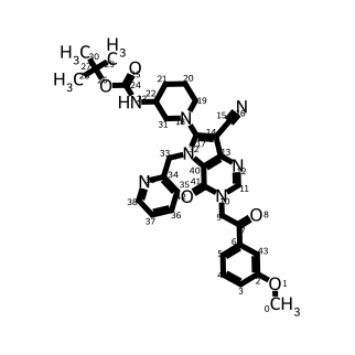 COc1cccc(C(=O)Cn2cnc3c(C#N)c(N4CCCC(NC(=O)OC(C)(C)C)C4)n(Cc4ccccn4)c3c2=O)c1